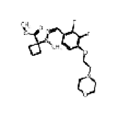 COC(=O)C1(N(C)/N=C\c2ccc(OCCN3CCOCC3)c(F)c2F)CCC1